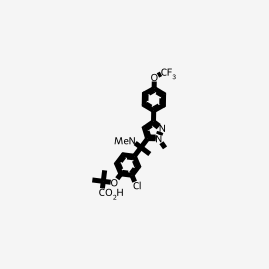 CNC(C)(c1ccc(OC(C)(C)C(=O)O)c(Cl)c1)c1cc(-c2ccc(OC(F)(F)F)cc2)nn1C